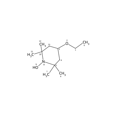 CCOC1CC(C)(C)N(O)C(C)(C)C1